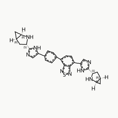 c1cc(-c2ccc(-c3cnc([C@@H]4C[C@H]5C[C@H]5N4)[nH]3)c3nsnc23)ccc1-c1cnc([C@@H]2C[C@H]3C[C@H]3N2)[nH]1